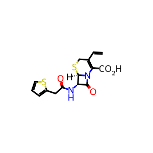 C=CC1=C(C(=O)O)N2C(=O)[C@@H](NC(=O)Cc3cccs3)[C@H]2SC1